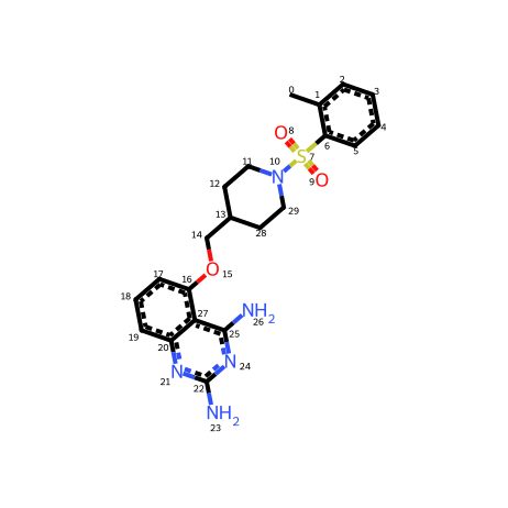 Cc1ccccc1S(=O)(=O)N1CCC(COc2cccc3nc(N)nc(N)c23)CC1